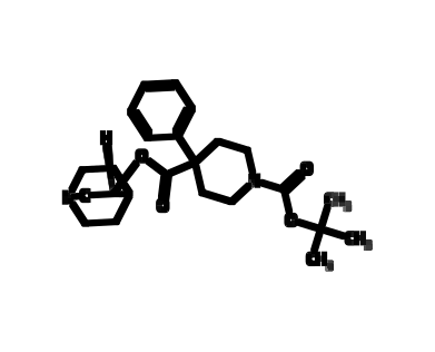 CC(C)(C)OC(=O)N1CCC(C(=O)O[C@H]2CN3CCC2CC3)(c2ccccc2)CC1